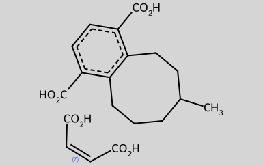 CC1CCCc2c(C(=O)O)ccc(C(=O)O)c2CC1.O=C(O)/C=C\C(=O)O